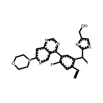 C=Cc1cc(F)c(-c2ncnc3cc(N4CCOCC4)ncc23)cc1C(I)c1nc(CO)cs1